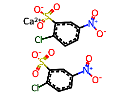 O=[N+]([O-])c1ccc(Cl)c(S(=O)(=O)[O-])c1.O=[N+]([O-])c1ccc(Cl)c(S(=O)(=O)[O-])c1.[Ca+2]